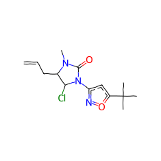 C=CCC1C(Cl)N(c2cc(C(C)(C)C)on2)C(=O)N1C